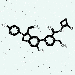 C=CC1=C(c2ccc(C)cc2)Cc2cc(N)c(-c3ccc(CC)c(C(=C)NC4=C(C)CC4)c3)cc21